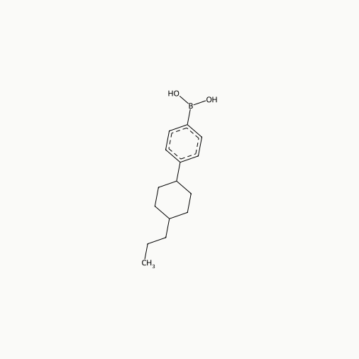 CCCC1CCC(c2ccc(B(O)O)cc2)CC1